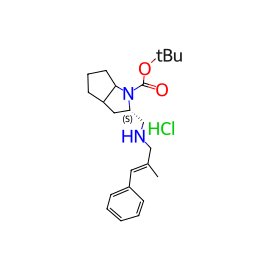 CC(=Cc1ccccc1)CNC[C@@H]1CC2CCCC2N1C(=O)OC(C)(C)C.Cl